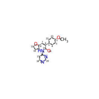 COc1ccc(C(=Cc2ccco2)C(=O)Nc2ccncn2)cc1